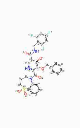 O=C(NCc1c(F)cc(F)cc1F)c1c[nH]c(C(=O)N2CCCS(=O)(=O)c3ccccc32)c(OCc2ccccc2)c1=O